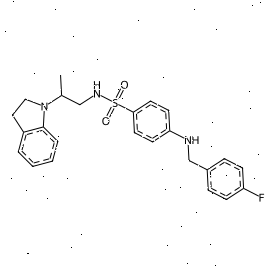 CC(CNS(=O)(=O)c1ccc(NCc2ccc(F)cc2)cc1)N1CCc2ccccc21